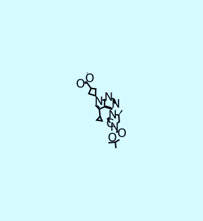 COC(=O)C1CC(n2cc(C3CC3)c3c(N4CCN(C(=O)OC(C)(C)C)C[C@@H]4C)ncnc32)C1